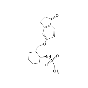 CCS(=O)(=O)N[C@H]1CCCC[C@@H]1COc1ccc2c(c1)CCC2=O